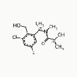 C[C@H](O)C(=O)N(C)[C@@H](C)c1cc(F)cc(Cl)c1CO